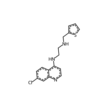 Clc1ccc2c(NCCNCc3cccs3)ccnc2c1